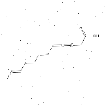 CC=CC=CC=CC=C=C=CC(=O)O